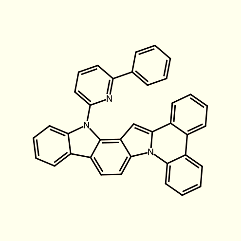 c1ccc(-c2cccc(-n3c4ccccc4c4ccc5c(cc6c7ccccc7c7ccccc7n65)c43)n2)cc1